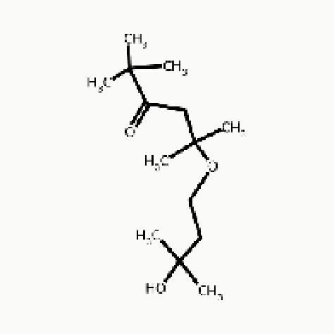 CC(C)(O)CCOC(C)(C)CC(=O)C(C)(C)C